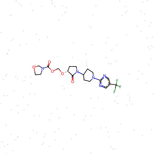 O=C(OCO[C@@H]1CCN(C2CCN(c3ncc(C(F)(F)F)cn3)CC2)C1=O)N1CCOC1